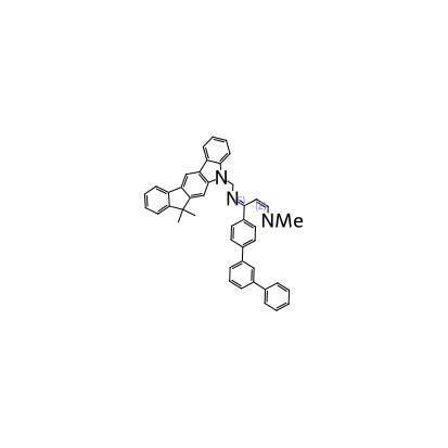 CN/C=C\C(=N/Cn1c2ccccc2c2cc3c(cc21)C(C)(C)c1ccccc1-3)c1ccc(-c2cccc(-c3ccccc3)c2)cc1